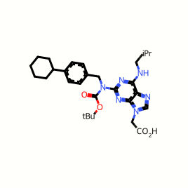 CC(C)CNc1nc(N(Cc2ccc(C3CCCCC3)cc2)C(=O)OC(C)(C)C)nc2c1ncn2CC(=O)O